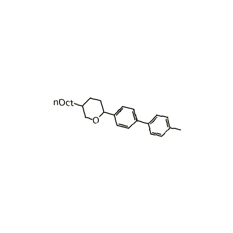 CCCCCCCCC1CCC(c2ccc(-c3ccc(C)cc3)cc2)OC1